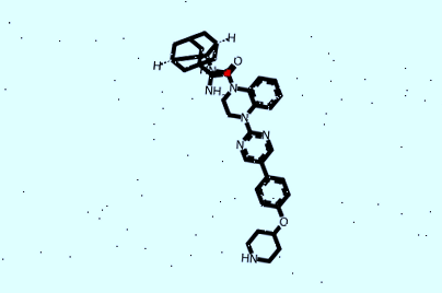 NC(=O)C12CC3C[C@H](C1)C(NC(=O)N1CCN(c4ncc(-c5ccc(OC6CCNCC6)cc5)cn4)c4ccccc41)[C@@H](C3)C2